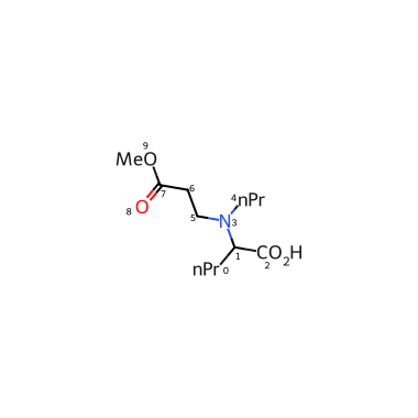 CCCC(C(=O)O)N(CCC)CCC(=O)OC